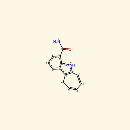 NC(=O)c1cccc2c3c([nH]c12)C=CC=CC3